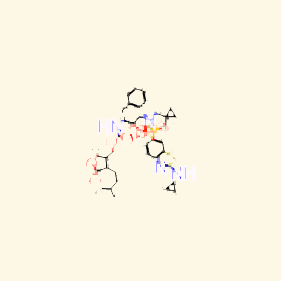 CC1CCC2C(COC(=O)N[C@@H](Cc3ccccc3)[C@H](O)CN(CC3(C)CC3)S(=O)(=O)c3ccc4nc(NC5CC5)sc4c3)COC2OC1